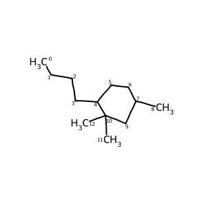 CCCCC1CCC(C)CC1(C)C